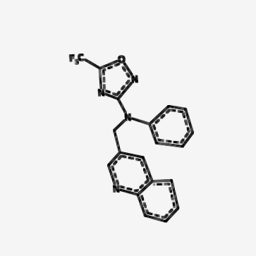 FC(F)(F)c1nc(N(Cc2cnc3ccccc3c2)c2ccccc2)no1